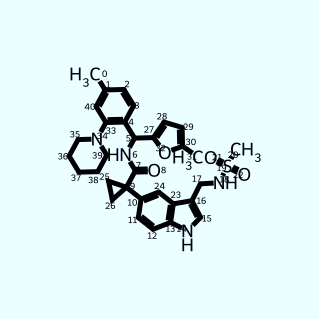 Cc1ccc(C(NC(=O)C2(c3ccc4[nH]cc(CNS(C)(=O)=O)c4c3)CC2)c2ccc(C)o2)c(N2CCCCC2)c1